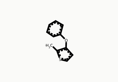 [CH2]c1sccc1Oc1ccccc1